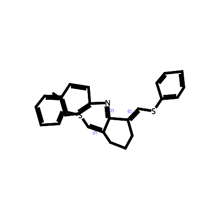 Cc1ccc(/N=C2C(=C/Sc3ccccc3)\CCCC\2=C/Sc2ccccc2)cc1